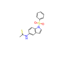 CC(=S)Nc1ccc2c(ccn2S(=O)(=O)c2ccccc2)c1